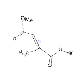 COC(=O)/C=C(\C)C(=O)OBr